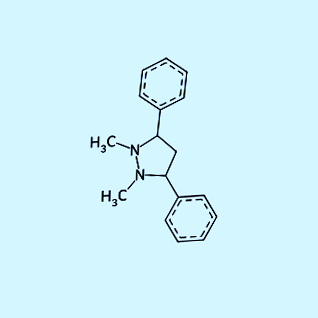 CN1C(c2ccccc2)CC(c2ccccc2)N1C